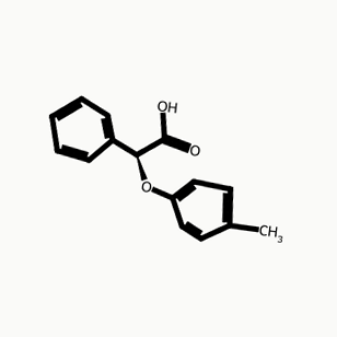 Cc1ccc(O[C@H](C(=O)O)c2ccccc2)cc1